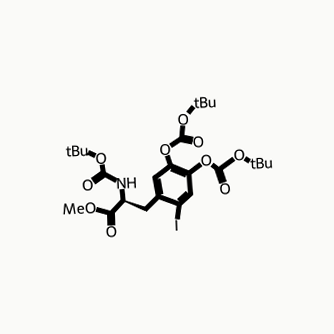 COC(=O)[C@H](Cc1cc(OC(=O)OC(C)(C)C)c(OC(=O)OC(C)(C)C)cc1I)NC(=O)OC(C)(C)C